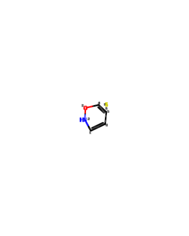 C1=CNOC=C1.[S]